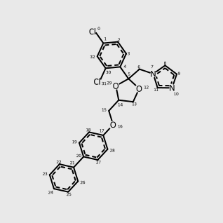 Clc1ccc(C2(Cn3ccnc3)OCC(COc3ccc(-c4ccccc4)cc3)O2)c(Cl)c1